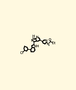 CCC(=O)N(C)c1ccc(-c2cnc3[nH]nc(-c4cc5c(-c6cccc(Cl)c6)cccc5[nH]4)c3c2)cn1